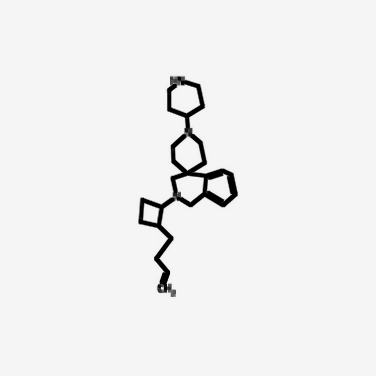 C=CCCC1CCC1N1Cc2ccccc2C2(CCN(C3CCNCC3)CC2)C1